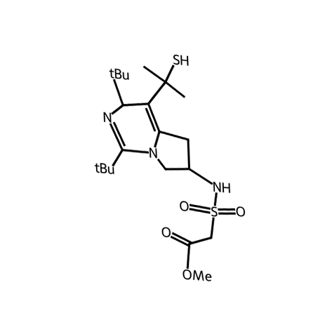 COC(=O)CS(=O)(=O)NC1CC2=C(C(C)(C)S)C(C(C)(C)C)N=C(C(C)(C)C)N2C1